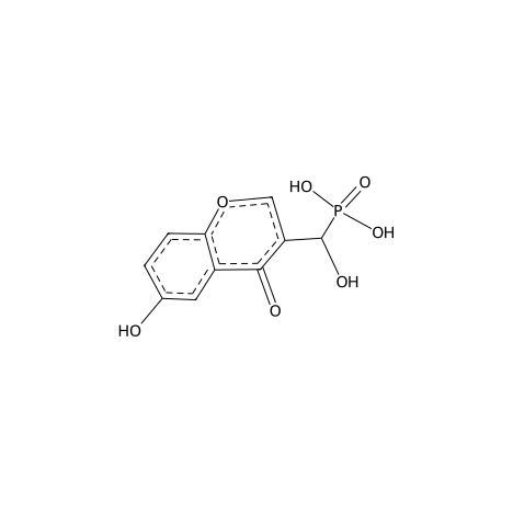 O=c1c(C(O)P(=O)(O)O)coc2ccc(O)cc12